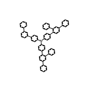 c1ccc(-c2cccc(-c3ccc(N(c4ccc(-c5ccc(-c6ccccc6)cc5-c5ccccc5)cc4)c4ccc(-c5ccc(-c6ccccc6)cc5-c5ccccc5)cc4)cc3)c2)cc1